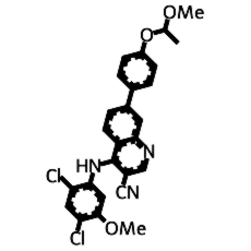 COc1cc(Nc2c(C#N)cnc3cc(-c4ccc(OC(C)OC)cc4)ccc23)c(Cl)cc1Cl